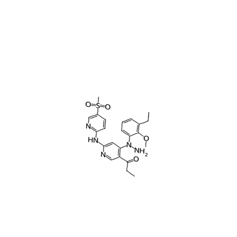 CCC(=O)c1cnc(Nc2ccc(S(C)(=O)=O)cn2)cc1N(N)c1cccc(CC)c1OC